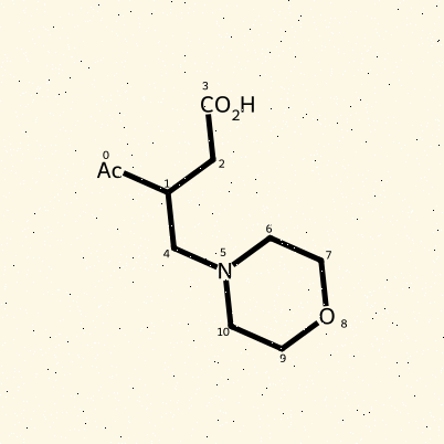 CC(=O)C(CC(=O)O)CN1CCOCC1